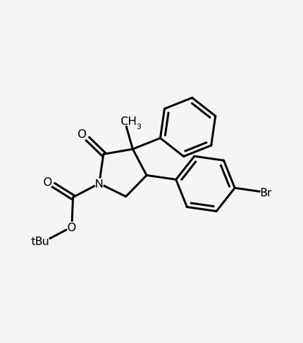 CC(C)(C)OC(=O)N1CC(c2ccc(Br)cc2)C(C)(c2ccccc2)C1=O